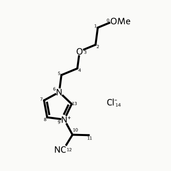 COCCOCCn1cc[n+](C(C)C#N)c1.[Cl-]